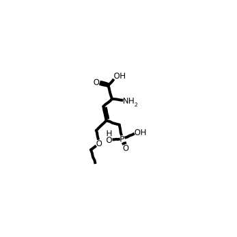 CCOC/C(=C/C(N)C(=O)O)CP(=O)(O)O